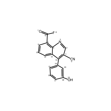 N#Cc1cnc2c(C(=O)F)cccc2c1-c1cccc(O)c1